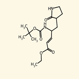 CCOC(=O)C=CC(CC1CCNC1=O)NC(=O)OC(C)(C)C